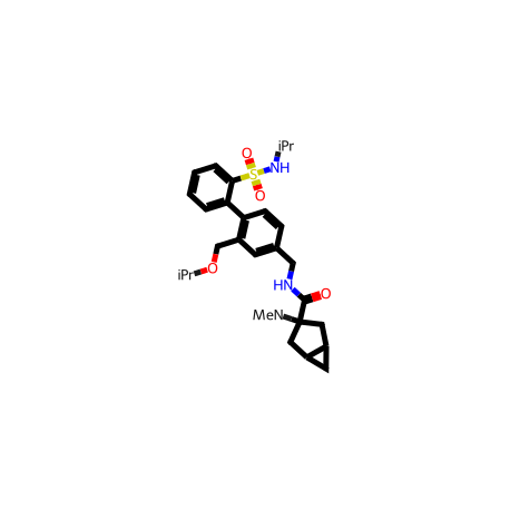 CNC1(C(=O)NCc2ccc(-c3ccccc3S(=O)(=O)NC(C)C)c(COC(C)C)c2)CC2CC2C1